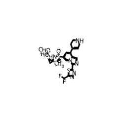 CC1(NS(=O)(=O)c2cc(C3=CCNCC3)c3cnc(-c4nnc(C(F)F)s4)n3c2)CC1.O=CO